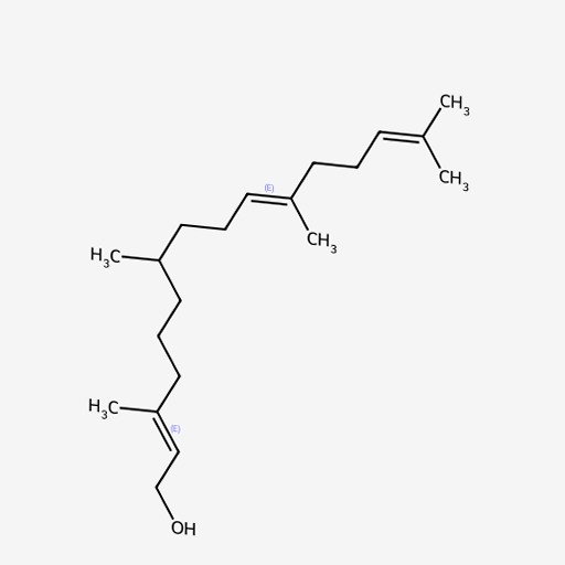 CC(C)=CCC/C(C)=C/CCC(C)CCC/C(C)=C/CO